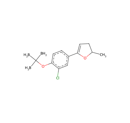 BC(B)(B)Oc1ccc(C2=CCC(C)O2)cc1Cl